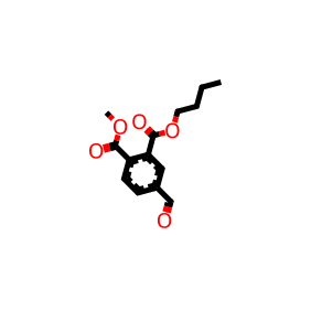 CCCCOC(=O)c1cc(C=O)ccc1C(=O)OC